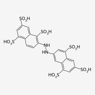 O=S(=O)(O)c1cc(S(=O)(=O)O)c2cc(NNc3ccc4c(S(=O)(=O)O)cc(S(=O)(=O)O)cc4c3S(=O)(=O)O)cc(S(=O)(=O)O)c2c1